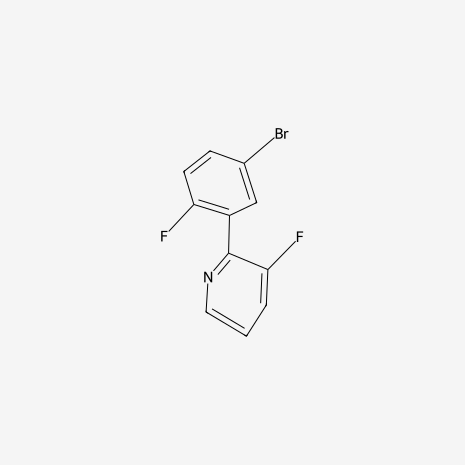 Fc1ccc(Br)cc1-c1ncccc1F